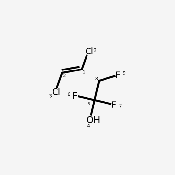 Cl/C=C/Cl.OC(F)(F)CF